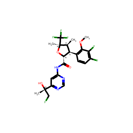 COc1c([C@H]2[C@H](C(=O)Nc3cc([C@@](C)(O)CF)ncn3)O[C@@](C)(C(F)(F)F)[C@H]2C)ccc(F)c1F